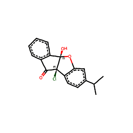 CC(C)c1ccc2c(c1)O[C@@]1(O)c3ccccc3C(=O)[C@@]21Cl